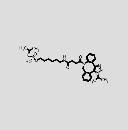 CC(C)OP(=O)(O)OCCCCCCNC(=O)CCC(=O)N1Cc2ccccc2-c2c(nnn2C(C)C)-c2ccccc21